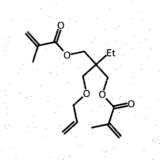 C=CCOCC(CC)(COC(=O)C(=C)C)COC(=O)C(=C)C